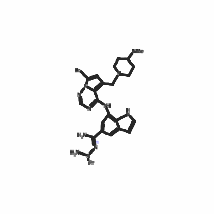 CNC1CCN(Cc2cc(Br)n3ncnc(Nc4cc(/C(N)=N/N(N)C(C)C)cc5cc[nH]c45)c23)CC1